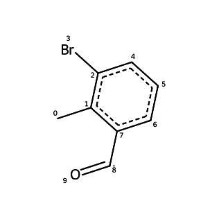 Cc1c(Br)cccc1[C]=O